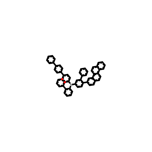 c1ccc(-c2ccc(-c3ccc(N(c4ccc(-c5ccc6ccc7c8ccccc8ccc7c6c5)c(-c5ccccc5)c4)c4ccccc4-c4ccccc4)cc3)cc2)cc1